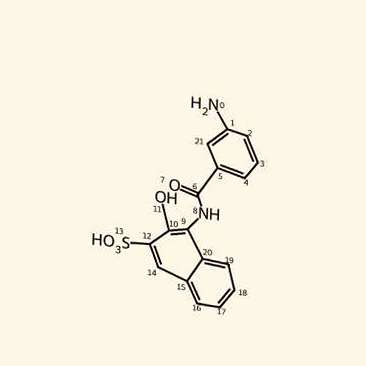 Nc1cccc(C(=O)Nc2c(O)c(S(=O)(=O)O)cc3ccccc23)c1